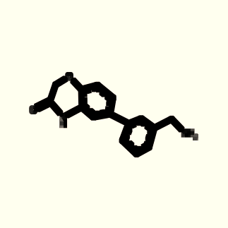 NCc1cccc(-c2ccc3c(c2)NC(=O)CO3)c1